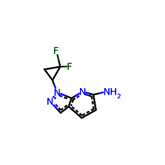 Nc1ccc2cnn(C3CC3(F)F)c2n1